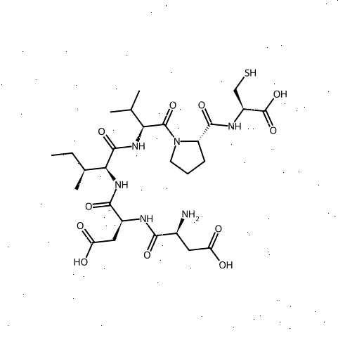 CC[C@H](C)[C@H](NC(=O)[C@H](CC(=O)O)NC(=O)[C@@H](N)CC(=O)O)C(=O)N[C@H](C(=O)N1CCC[C@H]1C(=O)N[C@@H](CS)C(=O)O)C(C)C